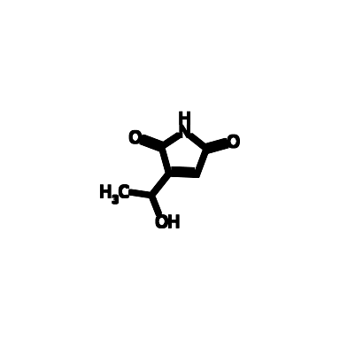 CC(O)C1=CC(=O)NC1=O